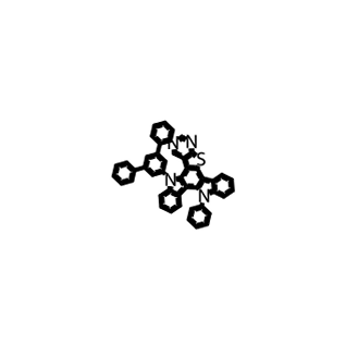 c1ccc(-c2cc(-c3ccccc3)cc(-n3c4ccccc4c4c5c(c6ccccc6n5-c5ccccc5)c5sc6ncncc6c5c43)c2)cc1